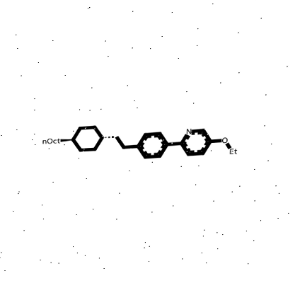 CCCCCCCC[C@H]1CC[C@H](CCc2ccc(-c3ccc(OCC)cn3)cc2)CC1